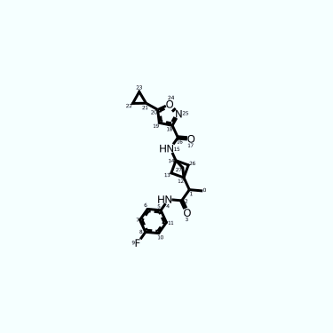 CC(C(=O)Nc1ccc(F)cc1)C12CC(NC(=O)c3cc(C4CC4)on3)(C1)C2